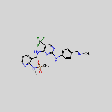 CNCc1ccc(Nc2ncc(C(F)(F)F)c(NCc3cccnc3N(C)S(C)(=O)=O)n2)cc1